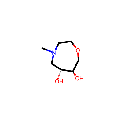 CN1CCOC[C@@H](O)[C@H](O)C1